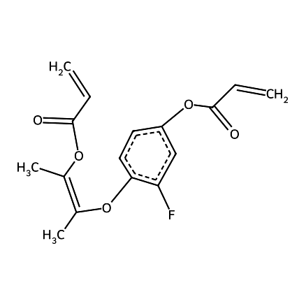 C=CC(=O)OC(C)=C(C)Oc1ccc(OC(=O)C=C)cc1F